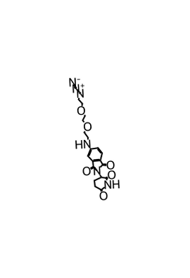 [N-]=[N+]=NCCOCCOCCNc1ccc2c(c1)C(=O)N(C1CCC(=O)NC1=O)C2=O